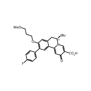 COCCCOc1cc2c(cc1-c1ccc(F)cc1)-c1cc(=O)c(C(=O)O)cn1[C@H](C(C)(C)C)C2